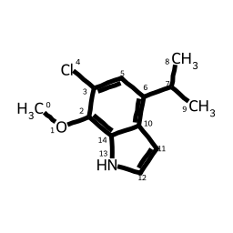 COc1c(Cl)cc(C(C)C)c2cc[nH]c12